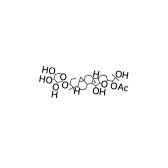 CC(=O)O[C@@H](C1C[C@@H](C)[C@H]2C(O1)[C@H](O)[C@@]1(C)C3CC[C@H]4C(C)(C)[C@@H](O[C@@H]5OCC(O)[C@H](O)[C@H]5O)CC[C@@]45CC35CC[C@]21C)C(C)(C)O